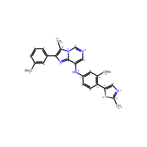 COc1cccc(-c2nc3c(Nc4ccc(-c5cnc(C)s5)c(OC)c4)cncn3c2C)c1